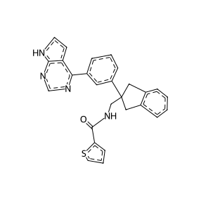 O=C(NCC1(c2cccc(-c3ncnc4[nH]ccc34)c2)Cc2ccccc2C1)c1cccs1